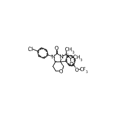 CC(Cl)[C@H](C)N1C(=O)N(c2ccc(Cl)cc2)C2CCOCC21c1cccc(OC(F)(F)F)c1